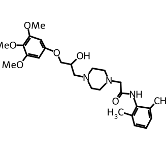 COc1cc(OCC(O)CN2CCN(CC(=O)Nc3c(C)cccc3C)CC2)cc(OC)c1OC